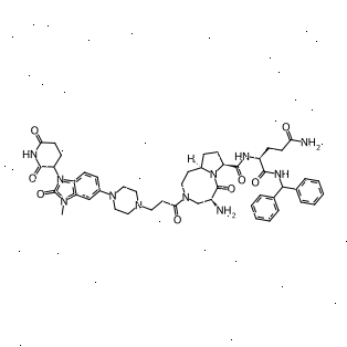 Cn1c(=O)n(C2CCC(=O)NC2=O)c2ccc(N3CCN(CCC(=O)N4CC[C@H]5CC[C@@H](C(=O)N[C@@H](CCC(N)=O)C(=O)NC(c6ccccc6)c6ccccc6)N5C(=O)[C@@H](N)C4)CC3)cc21